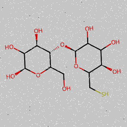 OCC1O[C@@H](O)C(O)[C@@H](O)[C@@H]1O[C@@H]1OC(CS)[C@H](O)C(O)C1O